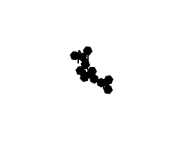 C1=CCCC(c2nc(-c3ccccc3)nc(-c3cccc(-c4cccc5c4oc4c(-n6c7ccccc7c7cc(-c8ccc9c(c8)c8ccccc8n9-c8ccccc8)ccc76)cccc45)c3)n2)=C1